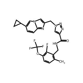 Cc1ccc(OC(F)(F)F)c(F)c1CNC(=O)c1cn(Cc2cn3cc(C4CC4)ccc3n2)nn1